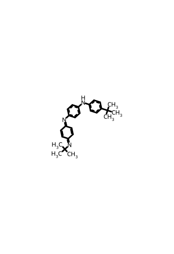 CC(C)(C)N=C1C=CC(=Nc2ccc(Nc3ccc(C(C)(C)C)cc3)cc2)C=C1